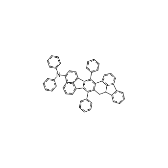 c1ccc(-c2c3c(c(-c4ccccc4)c4c2-c2cccc5c(N(c6ccccc6)c6ccccc6)ccc-4c25)-c2cccc4c2C(C3)c2ccccc2-4)cc1